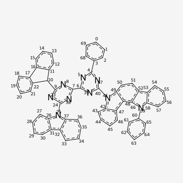 c1ccc(-c2nc(-c3nc(C4c5ccccc5-c5ccccc54)nc(-n4c5ccccc5c5ccccc54)n3)nc(-n3c4ccccc4c4c3ccc3c5ccccc5n(-c5ccccc5)c34)n2)cc1